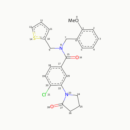 COc1ccccc1CN(Cc1cccs1)C(=O)c1ccc(Cl)c(N2CCCC2=O)c1